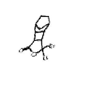 CCC1(CC)OC(=O)C2C3C4CCC(C4)C3C21